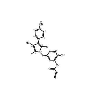 C=CC(=O)Oc1cc(Cn2c(C)c(C#N)c(-c3ccc(C#N)cc3)c2C)ccc1Cl